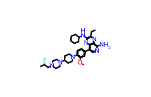 CCc1nc2c(N)ncc(-c3ccc(N4CCC(N5CCN(CC(C)F)CC5)CC4)c(OC)c3)c2nc1NC1CCCCC1